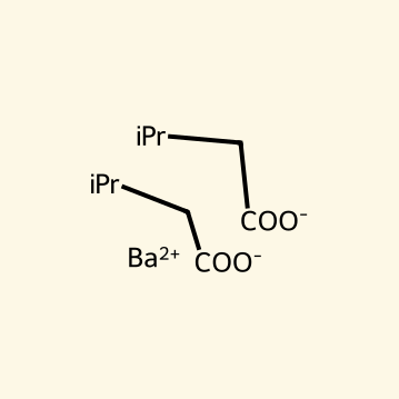 CC(C)CC(=O)[O-].CC(C)CC(=O)[O-].[Ba+2]